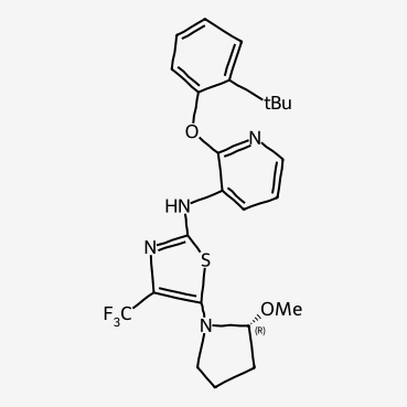 CO[C@@H]1CCCN1c1sc(Nc2cccnc2Oc2ccccc2C(C)(C)C)nc1C(F)(F)F